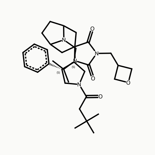 CC(C)N1C(=O)N(CC2COC2)C(=O)C12CC1CCC(C2)N1C[C@H]1CN(C(=O)CC(C)(C)C)C[C@@H]1c1ccccc1